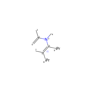 C=C(C)N(C)/C(=C(\C)C(C)C)C(C)C